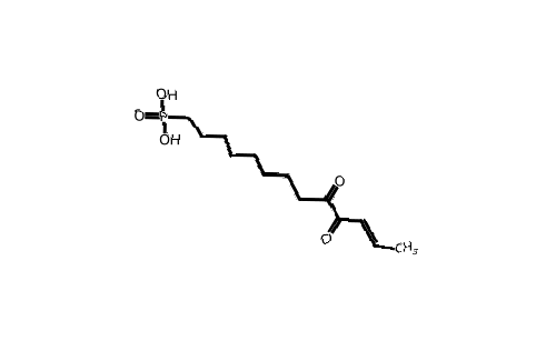 CC=CC(=O)C(=O)CCCCCCCCP(=O)(O)O